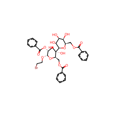 O=C(OC[C@H]1O[C@@H]([C@]2(O)[C@H](O)[C@@H](OC(=O)c3ccccc3)[C@@H](OCCBr)O[C@@H]2COC(=O)c2ccccc2)[C@H](O)[C@@H](O)[C@H]1O)c1ccccc1